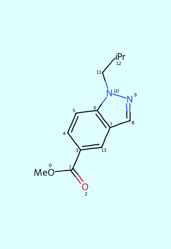 COC(=O)c1ccc2c(cnn2CC(C)C)c1